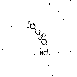 N#C/C(F)=C\CCC1CCC(OC(=O)C2CCC(c3ccc(F)c(F)c3)CC2)CC1